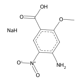 COc1cc(N)c([N+](=O)[O-])cc1C(=O)O.[NaH]